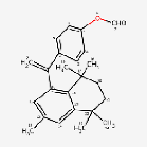 C=C(c1ccc(OC=O)cc1)c1cc(C)cc2c1C(C)(C)CCC2(C)C